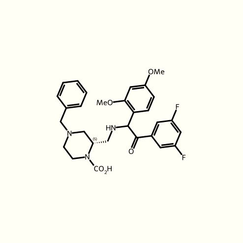 COc1ccc(C(NC[C@H]2CN(Cc3ccccc3)CCN2C(=O)O)C(=O)c2cc(F)cc(F)c2)c(OC)c1